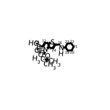 CC(C)(C)OC(=O)n1c(B(O)O)cc2sc(CNC3CCCCC3)cc21